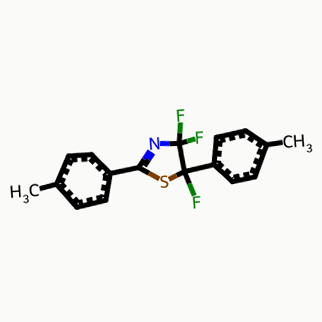 Cc1ccc(C2=NC(F)(F)C(F)(c3ccc(C)cc3)S2)cc1